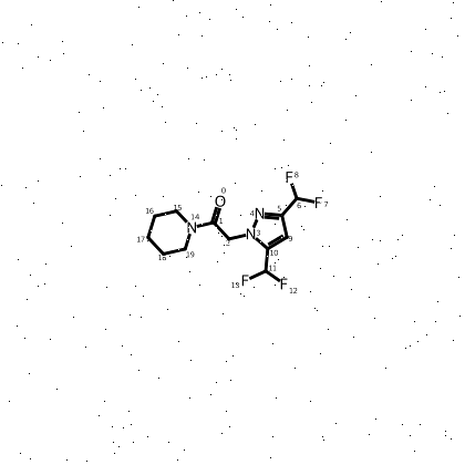 O=C(Cn1nc(C(F)F)cc1C(F)F)N1CC[CH]CC1